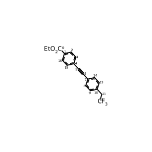 CCOC(=O)c1ccc(C#Cc2ccc(CC(F)(F)F)cc2)cc1